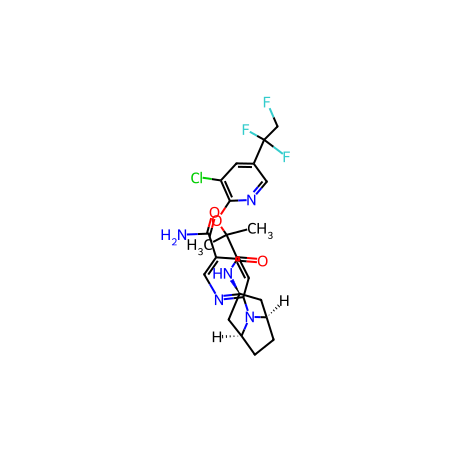 CC(C)(Oc1ncc(C(F)(F)CF)cc1Cl)C(=O)N[C@H]1C[C@H]2CC[C@@H](C1)N2c1ccc(C(N)=O)cn1